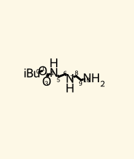 CCC(C)OC(=O)NCCNCCN